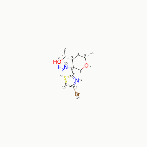 CC(O)[C@@H]1C[C@H](C)OC[C@@]1(N)c1nc(Br)cs1